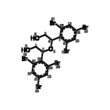 OCC(OC(CO)c1c(Br)cc(Br)cc1Br)c1c(Br)cc(Br)cc1Br